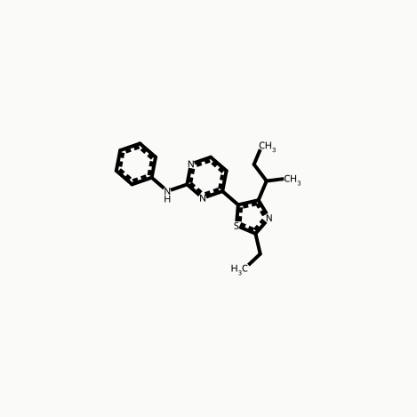 CCc1nc(C(C)CC)c(-c2ccnc(Nc3ccccc3)n2)s1